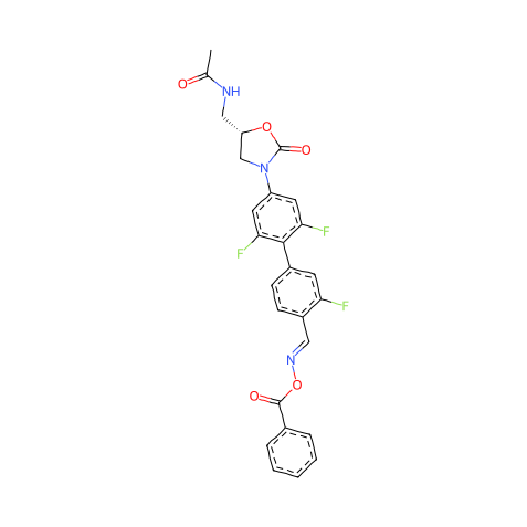 CC(=O)NC[C@H]1CN(c2cc(F)c(-c3ccc(/C=N/OC(=O)c4ccccc4)c(F)c3)c(F)c2)C(=O)O1